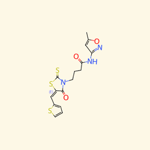 Cc1cc(NC(=O)CCCN2C(=O)/C(=C\c3cccs3)SC2=S)no1